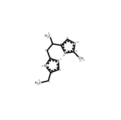 CCc1csc(CC(C)c2csc(C)n2)n1